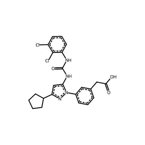 O=C(O)Cc1cccc(-n2nc(C3CCCC3)cc2NC(=O)Nc2cccc(Cl)c2Cl)c1